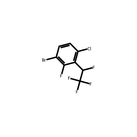 Fc1c(Br)ccc(Cl)c1C(F)C(F)(F)F